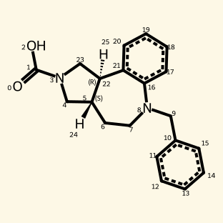 O=C(O)N1C[C@H]2CCN(Cc3ccccc3)c3ccccc3[C@@H]2C1